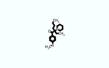 CCCCC(CC)(C(=O)c1ccc(SC)cc1)N1CCCCC1